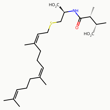 CC(C)=CCCC(C)=CCCC(C)=CCSC[C@H](NC(=O)[C@H](C)[C@H](C)C(=O)O)C(=O)O